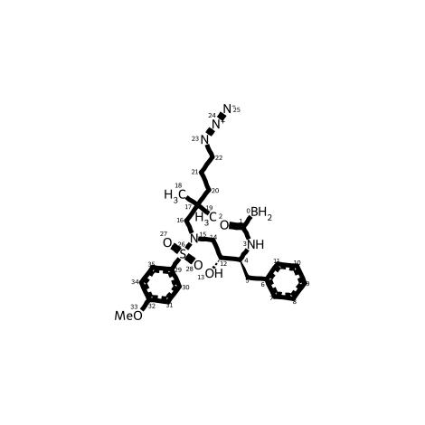 BC(=O)N[C@@H](Cc1ccccc1)[C@H](O)CN(CC(C)(C)CCCN=[N+]=[N-])S(=O)(=O)c1ccc(OC)cc1